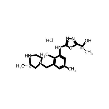 Cc1cc(CN2CCN[C@@H](C)C2)c(C)c(Nc2nnc([C@@H](C)O)o2)c1.Cl